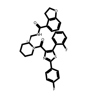 O=C(NC[C@@H]1CCCCN1C(=O)c1nc(-c2ccc(F)cc2)sc1-c1ccccc1F)c1cccc2c1CCO2